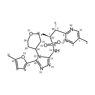 Cc1cnc([C@@H](C)[C@H](C)S(=O)(=O)Nc2nnc(-c3ccc(C)o3)n2C2CCOCC2)nc1